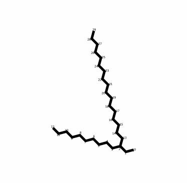 [CH2]CC(CCCCCCCCCC)CCCCCCCCCCCCCCCCC